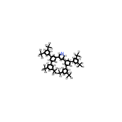 CC(C)(C)c1cc(-c2cc(-c3cncc(-c4cc(-c5cc(C(C)(C)C)cc(C(C)(C)C)c5)cc(-c5cc(C(C)(C)C)cc(C(C)(C)C)c5)c4)c3)cc(-c3cc(C(C)(C)C)cc(C(C)(C)C)c3)c2)cc(C(C)(C)C)c1